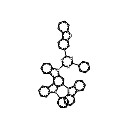 c1ccc(-c2nc(-c3ccc4c(c3)sc3ccccc34)nc(-n3c4ccccc4c4c5c6ccccc6n(-c6ccccc6)c5c(-n5c6ccccc6c6ccccc65)cc43)n2)cc1